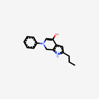 CCCc1cc2c([nH]1)CN(c1ccccc1)C=C2O